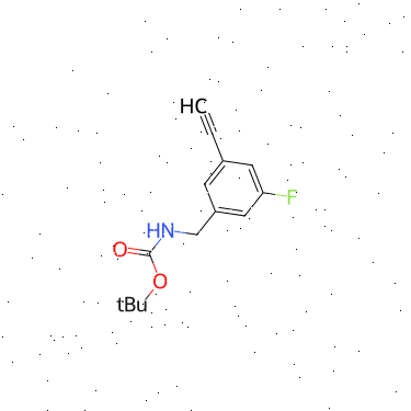 C#Cc1cc(F)cc(CNC(=O)OC(C)(C)C)c1